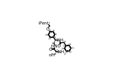 CCCC(C)COc1ccc([C@H](CNC(=O)[C@H](N)CCC)NC(=O)Cc2ccccc2)cc1